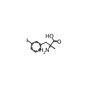 C[C@@](N)(Cc1cccc(I)c1)C(=O)O